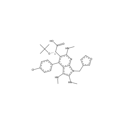 CNc1nc2c(c(NC)c(NC)n2Cc2ccoc2)c(-c2ccc(Cl)cc2)c1[C@H](OC(C)(C)C)C(=O)O